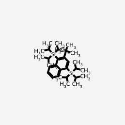 CC(C)[Si](c1cc(C(C)(C)C)c([Si](C(C)C)(C(C)C)C(C)C)c2ccccc12)(C(C)C)C(C)C